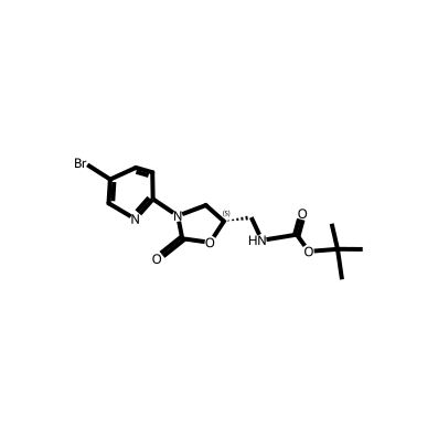 CC(C)(C)OC(=O)NC[C@H]1CN(c2ccc(Br)cn2)C(=O)O1